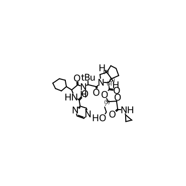 CC(C)(C)C(NC(=O)C(NC(=O)c1cnccn1)C1CCCCC1)C(=O)N1C[C@@H]2CCC[C@@H]2[C@H]1C(=O)O[C@@H](CCO)C(=O)C(=O)NC1CC1